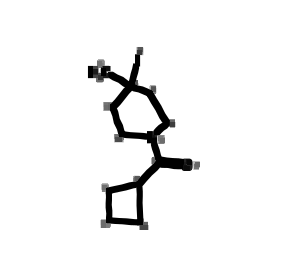 CC1(I)CCN(C(=O)C2CCC2)CC1